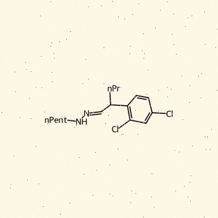 CCCCCNN=CC(CCC)c1ccc(Cl)cc1Cl